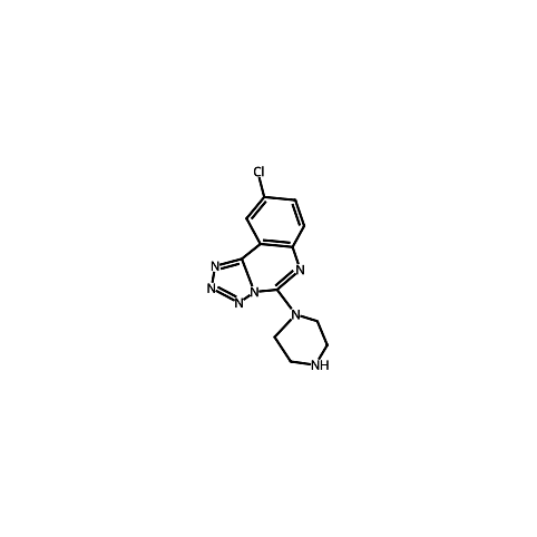 Clc1ccc2nc(N3CCNCC3)n3nnnc3c2c1